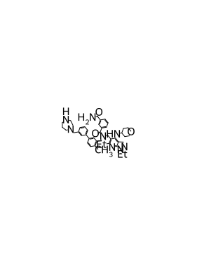 CCc1nc2c(cnn2CC)c(NC2CCOCC2)c1CN(Cc1cc(-c2cccc(CN3CCCNCC3)c2)ccc1C)C(=O)c1cccc(C(N)=O)c1